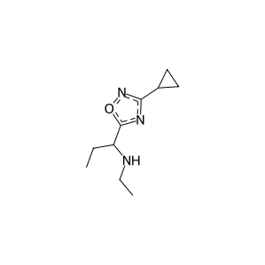 CCNC(CC)c1nc(C2CC2)no1